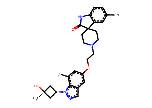 C[C@]1(O)C[C@@H](n2ncc3cc(OCCN4CCC5(CC4)C(=O)Nc4ccc(C#N)cc45)cc(C(F)(F)F)c32)C1